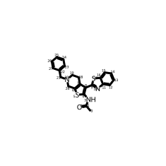 CC(=O)Nc1sc2c(c1-c1nc3ccccc3s1)CCN(Cc1ccccc1)C2